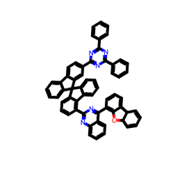 C1=CC2Oc3c(-c4nc(-c5cccc6c5-c5ccccc5C65c6ccccc6-c6ccc(-c7nc(-c8ccccc8)nc(-c8ccccc8)n7)cc65)nc5ccccc45)cccc3C2C=C1